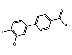 NC(=O)c1ccc(-c2ccc(F)c(Cl)c2)cc1